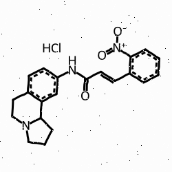 Cl.O=C(C=Cc1ccccc1[N+](=O)[O-])Nc1ccc2c(c1)C1CCCN1CC2